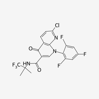 CC(C)(NC(=O)c1cn(-c2c(F)cc(F)cc2F)c2nc(Cl)ccc2c1=O)C(F)(F)F